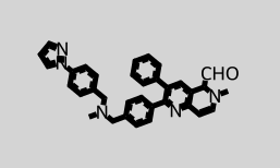 CN(Cc1ccc(-c2nc3c(cc2-c2ccccc2)C(C=O)N(C)C=C3)cc1)Cc1ccc(-n2cccn2)cc1